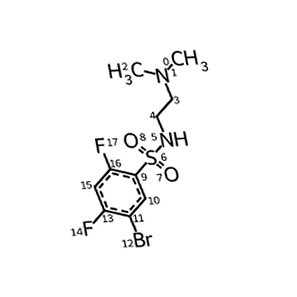 CN(C)CCNS(=O)(=O)c1cc(Br)c(F)cc1F